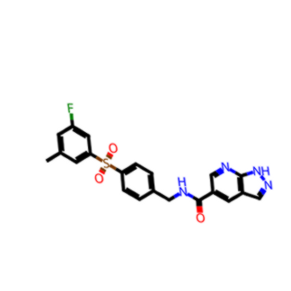 Cc1cc(F)cc(S(=O)(=O)c2ccc(CNC(=O)c3cnc4[nH]ncc4c3)cc2)c1